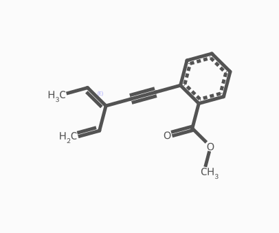 C=C/C(C#Cc1ccccc1C(=O)OC)=C\C